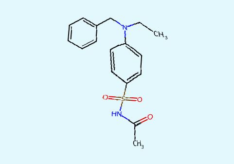 CCN(Cc1ccccc1)c1ccc(S(=O)(=O)NC(C)=O)cc1